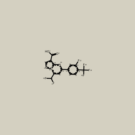 O=C(O)c1cnn2c(C(F)F)cc(-c3ccc(C(F)(F)F)c(F)c3)nc12